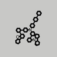 c1ccc2c3ccccc3n(-c3ccccc3-c3cccc(N(c4ccc(-c5ccc(-c6ccccc6)cc5)cc4)c4ccc(-c5ccccc5-c5cccc6c5oc5ccccc56)cc4)c3)c2c#1